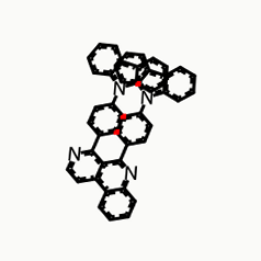 c1ccc2c(c1)nc(-c1ccc(-n3c4ccccc4c4ccccc43)cc1)c1c(-c3ccc(-n4c5ccccc5c5ccccc54)cc3)nccc12